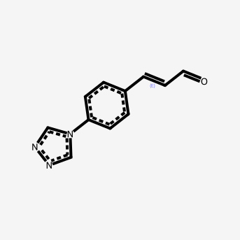 O=C/C=C/c1ccc(-n2cnnc2)cc1